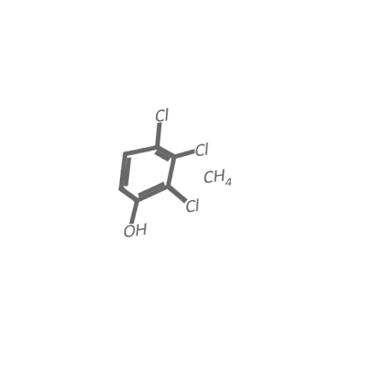 C.Oc1ccc(Cl)c(Cl)c1Cl